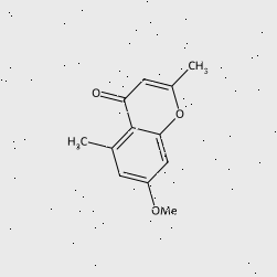 COc1cc(C)c2c(=O)cc(C)oc2c1